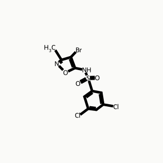 Cc1noc(NS(=O)(=O)c2cc(Cl)cc(Cl)c2)c1Br